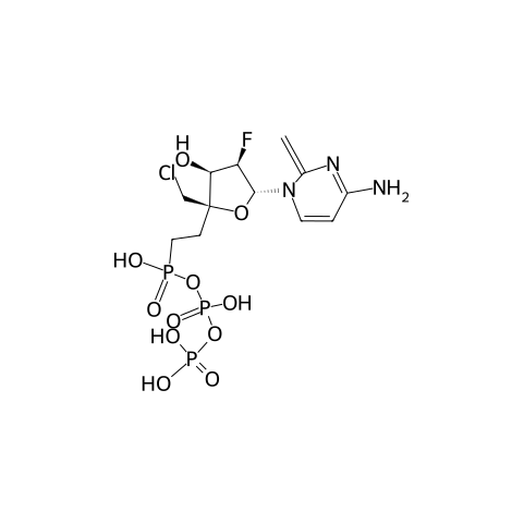 C=C1N=C(N)C=CN1[C@@H]1O[C@](CCl)(CCP(=O)(O)OP(=O)(O)OP(=O)(O)O)[C@@H](O)[C@H]1F